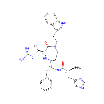 CCC(NC(=N)N)[C@@H]1N[C@H]([C@@H](Cc2ccccc2)NC(=O)[C@H](Cc2c[nH]cn2)NC(C)=O)CCN(CCc2c[nH]c3ccccc23)C1=O